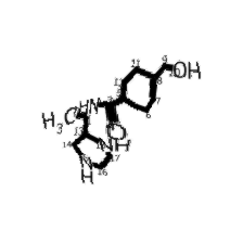 CC(NC(=O)C1CC=C(CO)CC1)C1CNCCN1